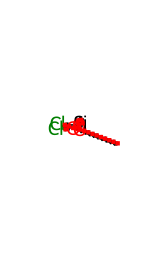 CCCCCCCCCCCCCCCCCCOC[C@H](CO[Si](C)(C)C(C)(C)C)OCc1ccc(Cl)c(Cl)c1